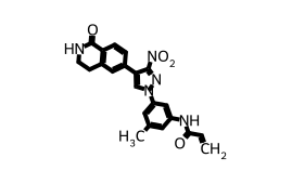 C=CC(=O)Nc1cc(C)cc(-n2cc(-c3ccc4c(c3)CCNC4=O)c([N+](=O)[O-])n2)c1